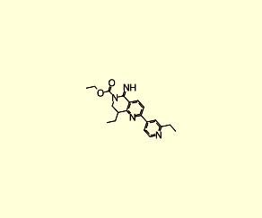 CCOC(=O)N1CC(CC)c2nc(-c3ccnc(CC)c3)ccc2C1=N